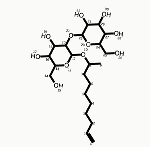 C=CCCCCCCC(C)OC1OC(CO)C(O)C(O)C1OC1OC(CO)C(O)C(O)C1O